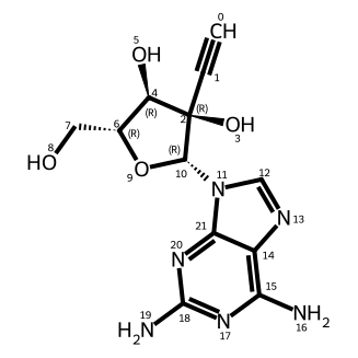 C#C[C@@]1(O)[C@H](O)[C@@H](CO)O[C@H]1n1cnc2c(N)nc(N)nc21